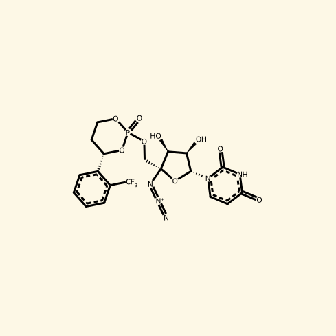 [N-]=[N+]=N[C@]1(COP2(=O)OCC[C@@H](c3ccccc3C(F)(F)F)O2)O[C@@H](n2ccc(=O)[nH]c2=O)[C@H](O)[C@@H]1O